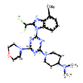 COc1cccc2c1nc(C(F)F)n2-c1nc(N2CCOCC2)nc(N2CCC(N(C)C(=O)O)CC2)n1